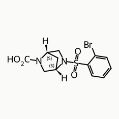 O=C(O)N1C[C@@H]2C[C@H]1CN2S(=O)(=O)c1ccccc1Br